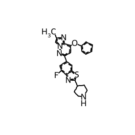 Cc1cn2nc(-c3cc(F)c4nc(C5CCNCC5)sc4c3)cc(Oc3ccccc3)c2n1